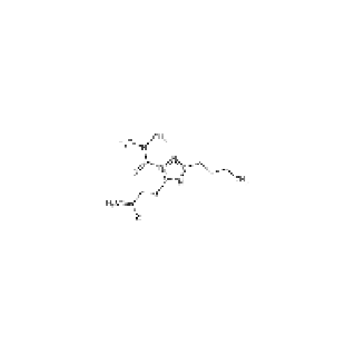 C=C(Cl)CSc1nc(CCCC)nn1C(=O)N(C)C